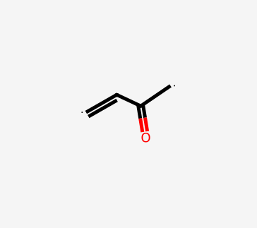 [CH]=CC([CH2])=O